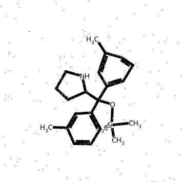 Cc1cccc(C(O[Si](C)(C)C)(c2cccc(C)c2)C2CCCN2)c1